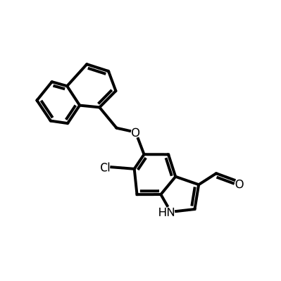 O=Cc1c[nH]c2cc(Cl)c(OCc3cccc4ccccc34)cc12